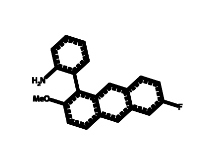 COc1ccc2cc3cc(F)ccc3cc2c1-c1ccccc1N